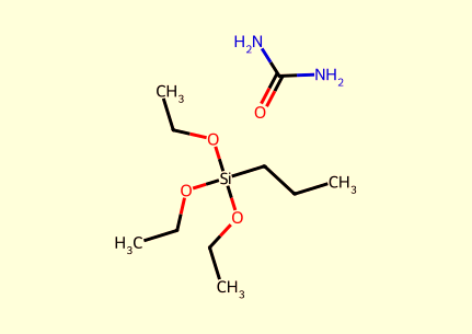 CCC[Si](OCC)(OCC)OCC.NC(N)=O